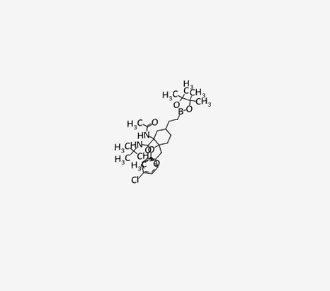 CC(=O)NC1(C(=O)NC(C)(C)C)CC(CCB2OC(C)(C)C(C)(C)O2)CCC1(Cc1ccc(Cl)cc1)OC(C)=O